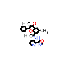 Cc1cc([C@@H](C)Nc2cccnc2-c2cocn2)c2oc(-c3ccccc3)c(C)c(=O)c2c1